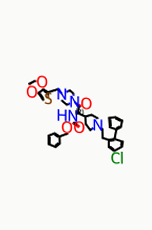 O=C(N[C@@H](C(=O)N1CCN(Cc2scc3c2OCCO3)CC1)C1CCN(CCc2cc(Cl)ccc2-c2ccccc2)CC1)OCc1ccccc1